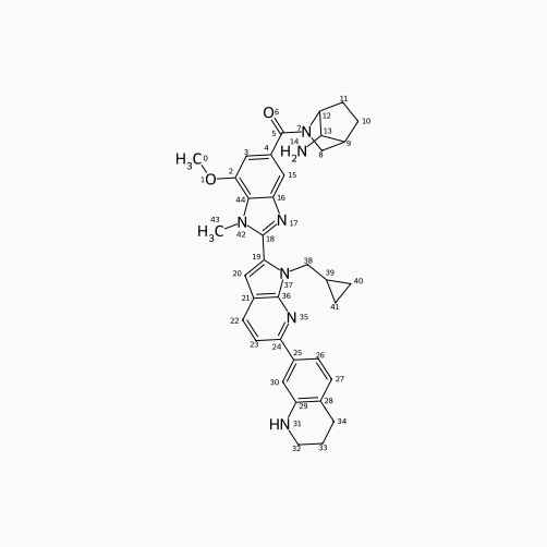 COc1cc(C(=O)N2CC3CCC2C3N)cc2nc(-c3cc4ccc(-c5ccc6c(c5)NCCC6)nc4n3CC3CC3)n(C)c12